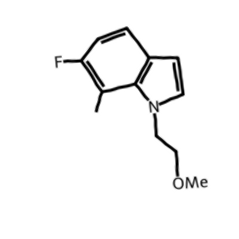 COCCn1ccc2ccc(F)c(C)c21